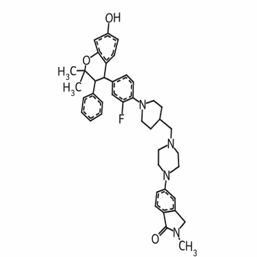 CN1Cc2cc(N3CCN(CC4CCN(c5ccc(C6c7ccc(O)cc7OC(C)(C)C6c6ccccc6)cc5F)CC4)CC3)ccc2C1=O